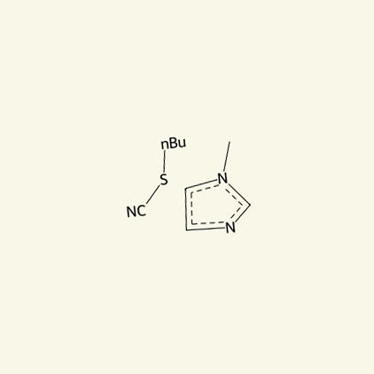 CCCCSC#N.Cn1ccnc1